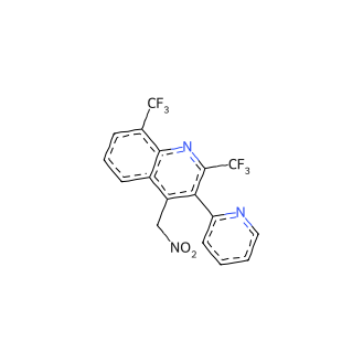 O=[N+]([O-])Cc1c(-c2ccccn2)c(C(F)(F)F)nc2c(C(F)(F)F)cccc12